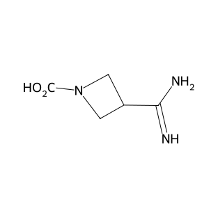 N=C(N)C1CN(C(=O)O)C1